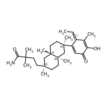 C/C=C1\C([C@]2(C)CC[C@@]3(C)C[C@](C)(CCC(C)(C)C(N)=O)CC[C@]3(C)C2)=CC(=O)C(O)=C1C